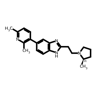 Cc1ccc(-c2ccc3[nH]c(CCN4CCC[C@H]4C)nc3c2)c(C)n1